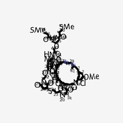 COc1cc2cc(c1Cl)N(C)C(=O)C[C@H](OC(=O)[C@H](C)N(C)C(=O)CCSC1CC(=O)N(CCOCCOCCNC(=O)COC(CNC(=O)CCSC)CNC(=O)CCSC)C1=O)[C@]1(C)O[C@H]1[C@H](C)[C@@H]1C[C@@](O)(NC(=O)O1)[C@H](OC)/C=C/C=C(\C)C2